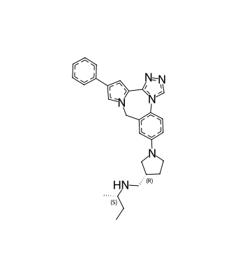 CC[C@H](C)NC[C@H]1CCN(c2ccc3c(c2)Cn2cc(-c4ccccc4)cc2-c2nncn2-3)C1